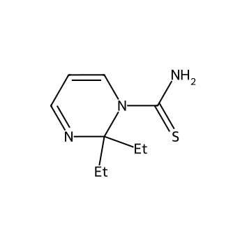 CCC1(CC)N=CC=CN1C(N)=S